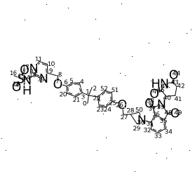 CC(C)(c1ccc(OCc2ccnc(NS(C)(=O)=O)n2)cc1)c1ccc(OCC2CN(c3cccc4c3C(=O)N(C3CCC(=O)NC3=O)C4=O)C2)cc1